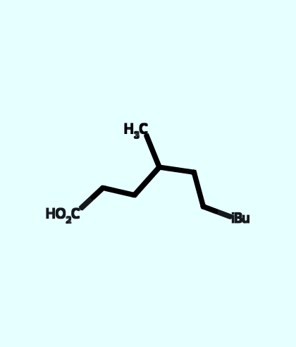 CCC(C)CCC(C)CCC(=O)O